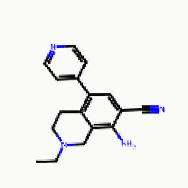 CCN1CCc2c(-c3ccncc3)cc(C#N)c(N)c2C1